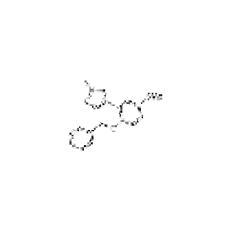 CSc1ccc(OCc2ccccc2)c(-c2cnn(C)c2)c1